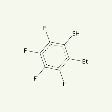 CCc1c(F)c(F)c(F)c(F)c1S